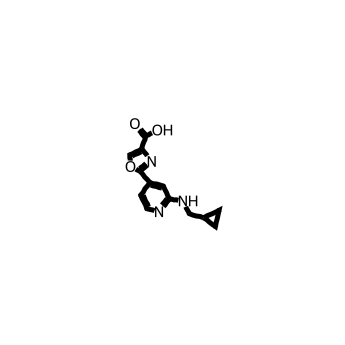 O=C(O)c1coc(-c2ccnc(NCC3CC3)c2)n1